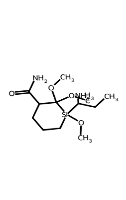 CCC(N)[Si]1(OC)CCCC(C(N)=O)C1(OC)OC